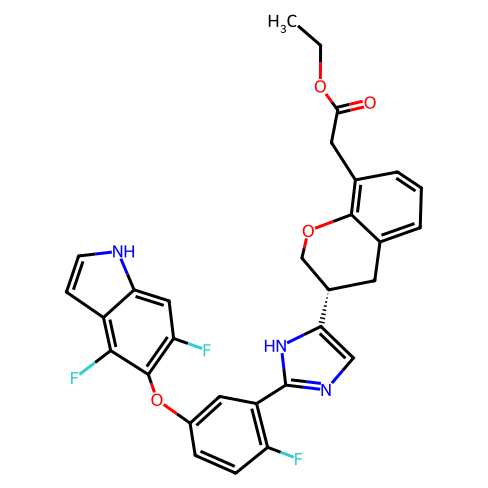 CCOC(=O)Cc1cccc2c1OC[C@@H](c1cnc(-c3cc(Oc4c(F)cc5[nH]ccc5c4F)ccc3F)[nH]1)C2